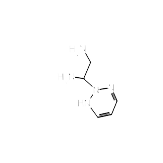 NCC(N)N1N=CC=CN1